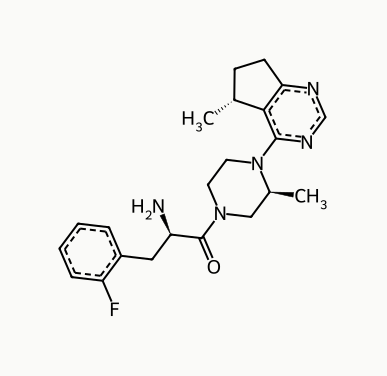 C[C@@H]1CCc2ncnc(N3CCN(C(=O)[C@H](N)Cc4ccccc4F)C[C@@H]3C)c21